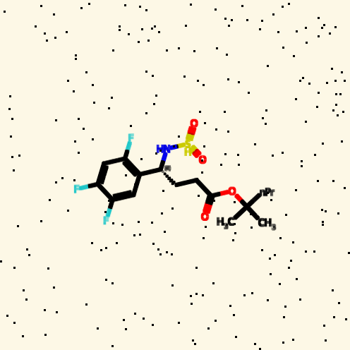 CCCC(C)(C)OC(=O)CC[C@@H](N[SH](=O)=O)c1cc(F)c(F)cc1F